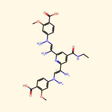 CCNC(=O)c1cc(/C(N)=C/N(N)c2ccc(C(=O)O)c(OC)c2)nc(/C(N)=C/N(N)c2ccc(C(=O)O)c(OC)c2)c1